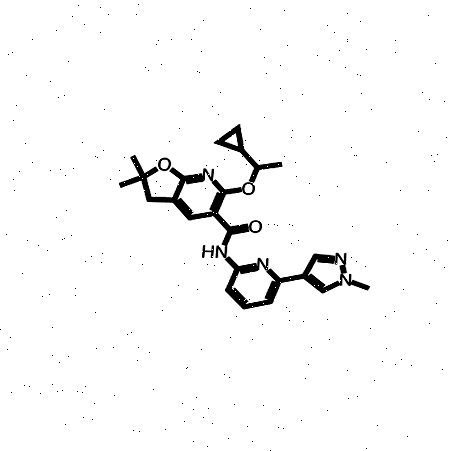 CC(Oc1nc2c(cc1C(=O)Nc1cccc(-c3cnn(C)c3)n1)CC(C)(C)O2)C1CC1